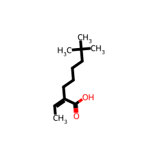 CC=C(CCCCC(C)(C)C)C(=O)O